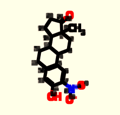 CC12CCC3c4cc([N+](=O)[O-])c(O)cc4CCC3C1CCC2=O